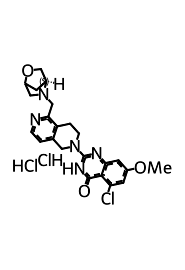 COc1cc(Cl)c2c(=O)[nH]c(N3CCc4c(ccnc4CN4CC5C[C@H]4CO5)C3)nc2c1.Cl.Cl